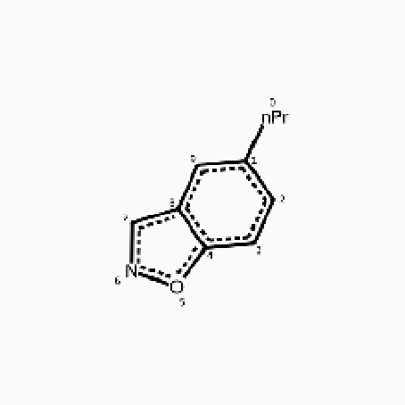 CCCc1ccc2oncc2c1